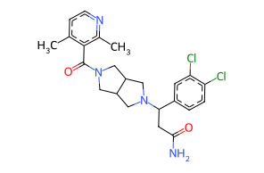 Cc1ccnc(C)c1C(=O)N1CC2CN(C(CC(N)=O)c3ccc(Cl)c(Cl)c3)CC2C1